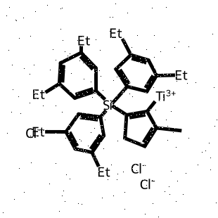 CCc1cc(CC)cc([Si](C2=[C]([Ti+3])C(C)=CC2)(c2cc(CC)cc(CC)c2)c2cc(CC)cc(CC)c2)c1.[Cl-].[Cl-].[Cl-]